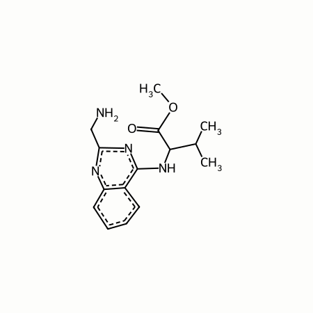 COC(=O)C(Nc1nc(CN)nc2ccccc12)C(C)C